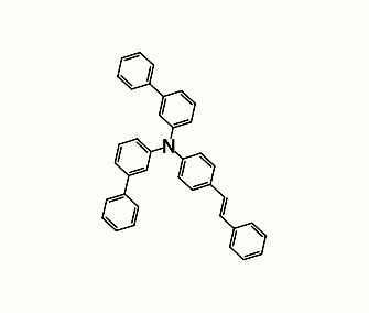 C(=C\c1ccc(N(c2cccc(-c3ccccc3)c2)c2cccc(-c3ccccc3)c2)cc1)/c1ccccc1